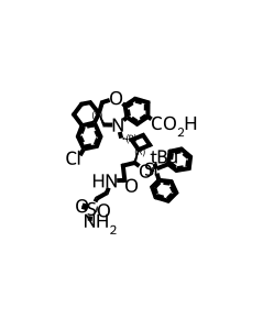 CC(C)(C)[Si](OC(CC(=O)NCCS(N)(=O)=O)[C@@H]1CC[C@H]1CN1C[C@@]2(CCCc3cc(Cl)ccc32)COc2ccc(C(=O)O)cc21)(c1ccccc1)c1ccccc1